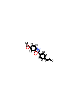 C/C=C/c1ccc(-c2nc3ccc(OC)cc3o2)cc1